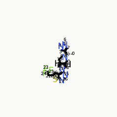 C[C@@H](c1cnn(C)c1)N1CC[C@H]2CN(c3ncnc4sc(CC(F)(F)F)cc34)C[C@H]2C1